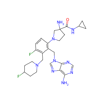 Nc1ncnc2c1ncn2Cc1c(N2CCC(N)(C(=O)NC3CC3)C2)ccc(F)c1CN1CCC(F)CC1